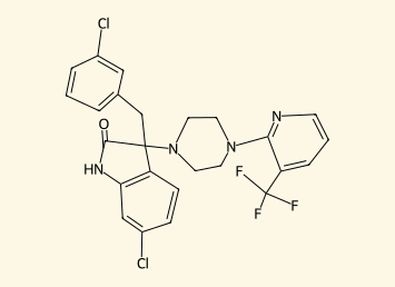 O=C1Nc2cc(Cl)ccc2C1(Cc1cccc(Cl)c1)N1CCN(c2ncccc2C(F)(F)F)CC1